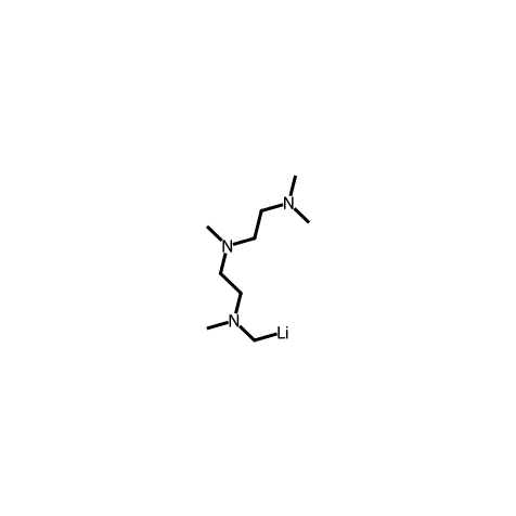 [Li][CH2]N(C)CCN(C)CCN(C)C